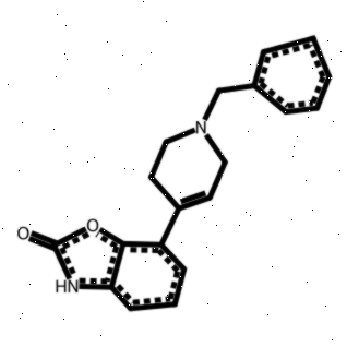 O=c1[nH]c2cccc(C3=CCN(Cc4ccccc4)CC3)c2o1